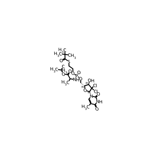 Cc1cn([C@@H]2O[C@H](COP(=O)(NC(C)C(=O)OC(C)C)OCCSC(=O)C(C)(C)C)[C@@H](O)C2(Cl)Cl)c(=O)[nH]c1=O